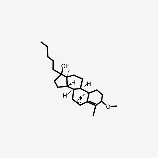 CCCCCC1(O)CC[C@H]2[C@@H]3CCC4=C(C)C(OC)CC[C@]4(C=O)[C@@H]3CC[C@@]21C